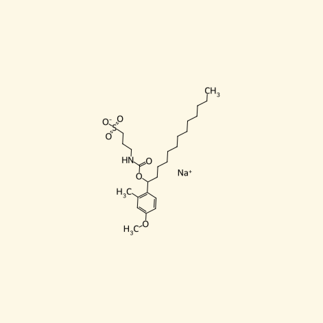 CCCCCCCCCCCCC(OC(=O)NCCCS(=O)(=O)[O-])c1ccc(OC)cc1C.[Na+]